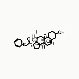 C[C@]12CC[C@H]3[C@@H](CC=C4CC(O)CC[C@@]43C)[C@@H]1CC[C@@H]2C(=O)C[n+]1ccccc1.[I-]